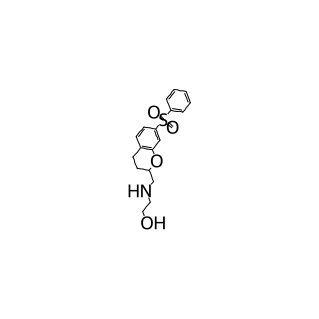 O=S(=O)(c1ccccc1)c1ccc2c(c1)OC(CNCCO)CC2